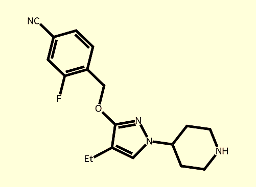 CCc1cn(C2CCNCC2)nc1OCc1ccc(C#N)cc1F